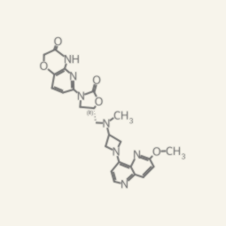 COc1ccc2nccc(N3CC(N(C)C[C@@H]4CN(c5ccc6c(n5)NC(=O)CO6)C(=O)O4)C3)c2n1